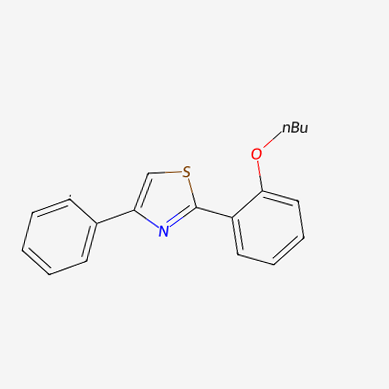 CCCCOc1ccccc1-c1nc(-c2[c]cccc2)cs1